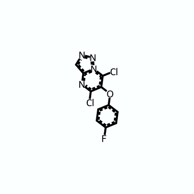 Fc1ccc(Oc2c(Cl)nc3cnnn3c2Cl)cc1